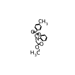 CCOC(=O)CN(CS(=O)(=O)c1ccc(C)cc1)c1ccccc1